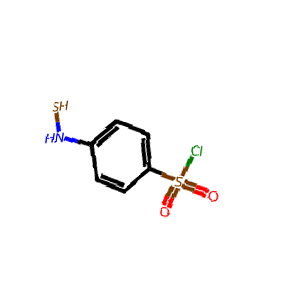 O=S(=O)(Cl)c1ccc(NS)cc1